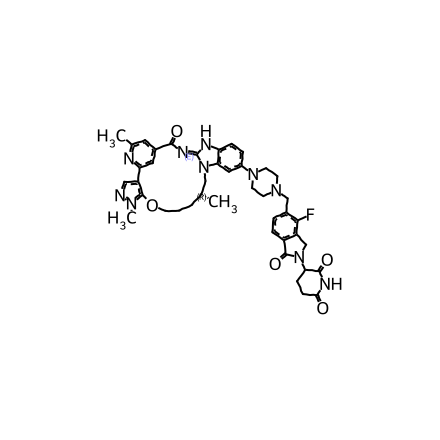 Cc1cc2cc(n1)-c1cnn(C)c1OCCC[C@@H](C)CN1/C(=N/C2=O)Nc2ccc(N3CCN(Cc4ccc5c(c4F)CN(C4CCC(=O)NC4=O)C5=O)CC3)cc21